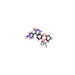 COc1ccc2c(c1OC1CCCC1)CC[N+]([O-])=C2c1cc[n+]([O-])cc1